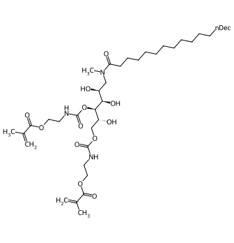 C=C(C)C(=O)OCCNC(=O)OC[C@@H](O)[C@@H](OC(=O)NCCOC(=O)C(=C)C)[C@H](O)[C@@H](O)CN(C)C(=O)CCCCCCCCCCCCCCCCCCCCC